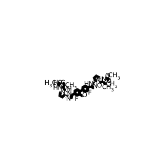 COC(=O)NC(C(=O)N1CCC[C@H]1c1ncc(-c2ccc3c(c2F)OCc2c-3ccc(-c3cnc([C@@H]4CCCN4C(=O)[C@@H](NC(=O)OC)C(C)C)[nH]3)c2F)[nH]1)C(C)C